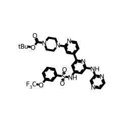 CC(C)(C)OC(=O)N1CCN(c2cc(-c3cc(NS(=O)(=O)c4cccc(OC(F)(F)F)c4)cc(Nc4cnccn4)n3)ccn2)CC1